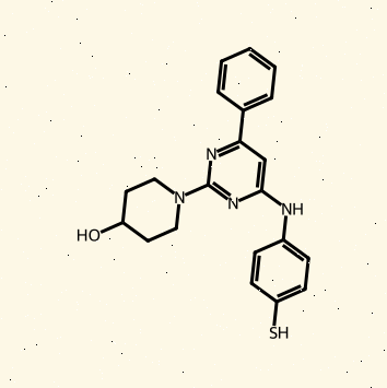 OC1CCN(c2nc(Nc3ccc(S)cc3)cc(-c3ccccc3)n2)CC1